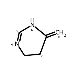 C=C1CCN=CN1